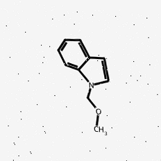 COCn1c[c]c2ccccc21